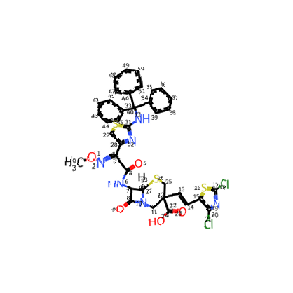 CON=C(C(=O)NC1C(=O)N2CC(C=Cc3sc(Cl)nc3Cl)(C(=O)O)CS[C@H]12)c1csc(NC(c2ccccc2)(c2ccccc2)c2ccccc2)n1